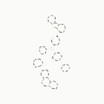 c1ccc(-c2ccc(N(c3ccc(-c4cccc5c4sc4ccccc45)cc3)c3cccc(-c4cccc(-c5ccc6c(ccc7ccccc76)c5)c4)c3)cc2)cc1